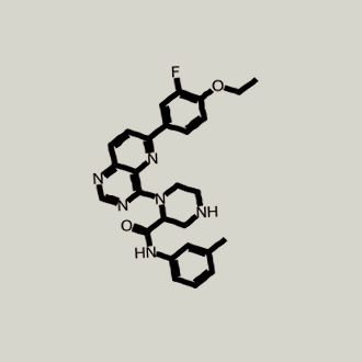 CCOc1ccc(-c2ccc3ncnc(N4CCNCC4C(=O)Nc4cccc(C)c4)c3n2)cc1F